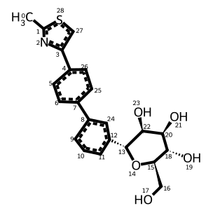 Cc1nc(-c2ccc(-c3cccc([C@H]4O[C@H](CO)[C@@H](O)[C@H](O)[C@@H]4O)c3)cc2)cs1